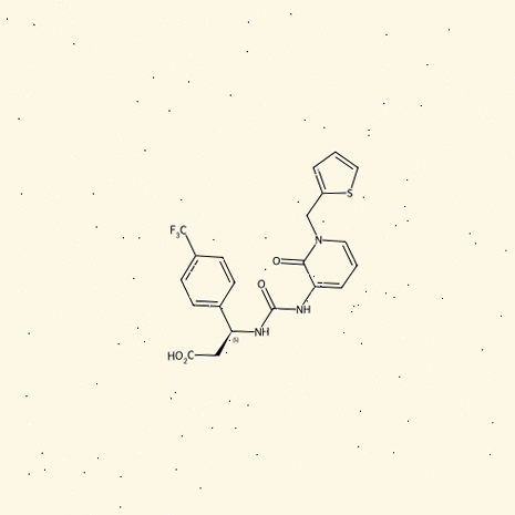 O=C(O)C[C@H](NC(=O)Nc1cccn(Cc2cccs2)c1=O)c1ccc(C(F)(F)F)cc1